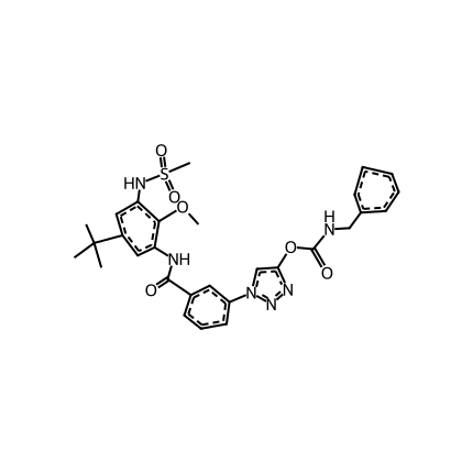 COc1c(NC(=O)c2cccc(-n3cc(OC(=O)NCc4ccccc4)nn3)c2)cc(C(C)(C)C)cc1NS(C)(=O)=O